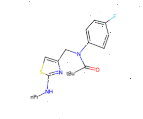 CCCNc1nc(CN(C(=O)C(C)(C)C)c2ccc(F)cc2)cs1